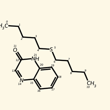 CCCCCSCCCCC.O=c1cnc2ccccc2[nH]1